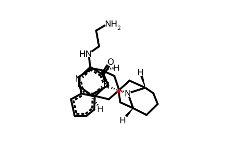 NCCNc1nc2ccccc2n([C@H]2C[C@H]3CCC[C@@H](C2)N3[C@H]2C[C@@H]3CCC[C@@H](C3)C2)c1=O